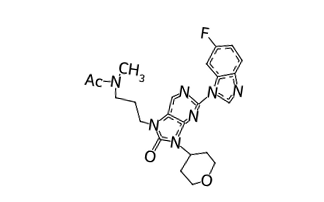 CC(=O)N(C)CCCn1c(=O)n(C2CCOCC2)c2nc(-n3cnc4ccc(F)cc43)ncc21